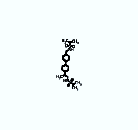 CC(CNS(=O)(=O)C(C)C)C1CC=C(c2ccc(CNS(=O)(=O)C(C)C)cc2)CC1